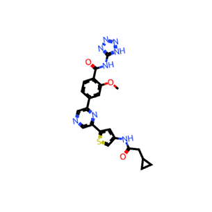 COc1cc(-c2cncc(-c3cc(NC(=O)CC4CC4)cs3)n2)ccc1C(=O)Nc1nnn[nH]1